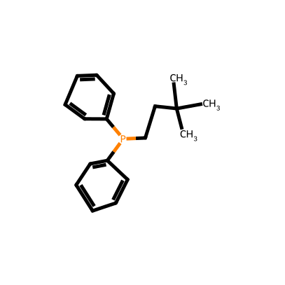 CC(C)(C)CCP(c1ccccc1)c1ccccc1